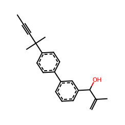 C=C(C)C(O)c1cccc(-c2ccc(C(C)(C)C#CC)cc2)c1